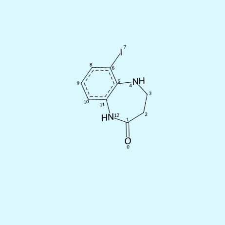 O=C1CCNc2c(I)cccc2N1